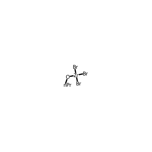 CCC[O][Zr]([Br])([Br])[Br]